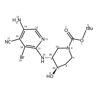 CC(C)(C)OC(=O)N1CC[C@@H](O)[C@H](Nc2ncc(N)c(C#N)c2Br)C1